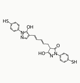 O=C1C(CC=CC=Cc2cnn(-c3ccc(S)cc3)c2O)C(O)=NN1c1ccc(S)cc1